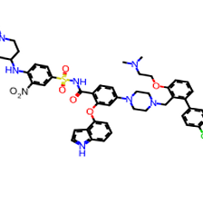 CN(C)CCOc1cccc(-c2ccc(Cl)cc2)c1CN1CCN(c2ccc(C(=O)NS(=O)(=O)c3ccc(NC4CCN(C)CC4)c([N+](=O)[O-])c3)c(Oc3cccc4[nH]ccc34)c2)CC1